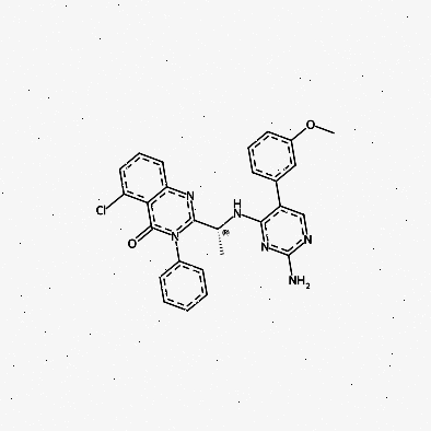 COc1cccc(-c2cnc(N)nc2N[C@H](C)c2nc3cccc(Cl)c3c(=O)n2-c2ccccc2)c1